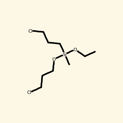 CCO[Si](C)(CCCCl)OCCCCl